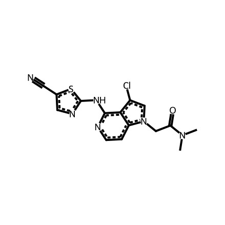 CN(C)C(=O)Cn1cc(Cl)c2c(Nc3ncc(C#N)s3)nccc21